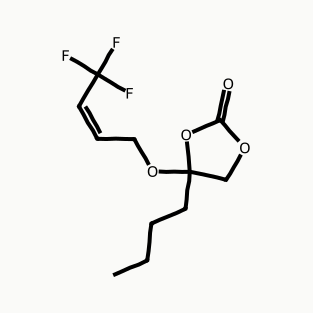 CCCCC1(OC/C=C\C(F)(F)F)COC(=O)O1